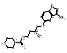 Cc1n[nH]c2ccc(OC[C@@H](O)CCNC(=O)N3CCOCC3)cc12